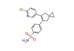 NS(=O)(=O)c1ccc(C2=C(c3ccc(Cl)nc3)CC3(CC3)C2)cc1